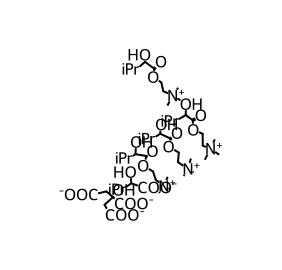 CC(C)C(O)C(=O)OCC[N+](C)(C)C.CC(C)C(O)C(=O)OCC[N+](C)(C)C.CC(C)C(O)C(=O)OCC[N+](C)(C)C.CC(C)C(O)C(=O)OCC[N+](C)(C)C.CC(C)C(O)C(=O)[O-].O=C([O-])CC(O)(CC(=O)[O-])C(=O)[O-]